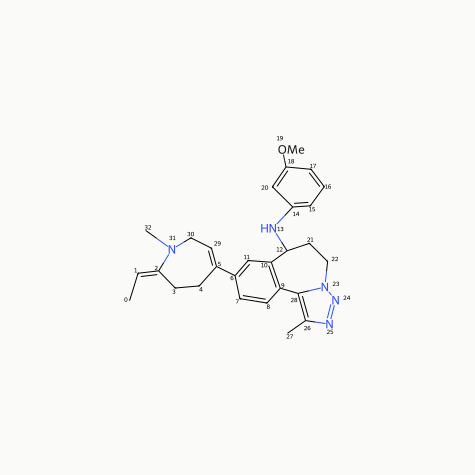 C/C=C1\CCC(c2ccc3c(c2)C(Nc2cccc(OC)c2)CCn2nnc(C)c2-3)=CCN1C